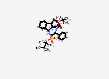 CC(C)C(C)(C)OP(=O)(O)C(N=C1c2ccccc2-c2ccccc21)C(NC(=O)OC(C)(C)C)c1ccccc1